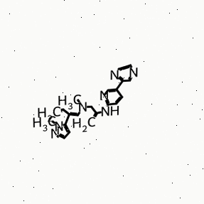 C=C/C(=C\N(C)CC(=C)Nc1ccc(-c2cnccn2)cn1)c1ccnn1C